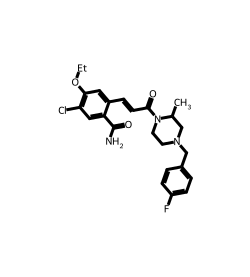 CCOc1cc(C=CC(=O)N2CCN(Cc3ccc(F)cc3)CC2C)c(C(N)=O)cc1Cl